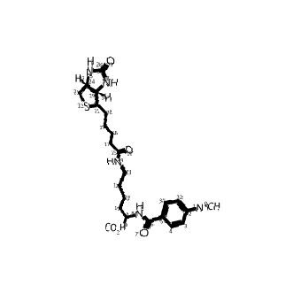 C#[N+]c1ccc(C(=O)NC(CCCCNC(=O)CCCCC2SC[C@@H]3NC(=O)N[C@H]23)C(=O)O)cc1